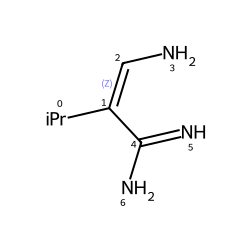 CC(C)/C(=C/N)C(=N)N